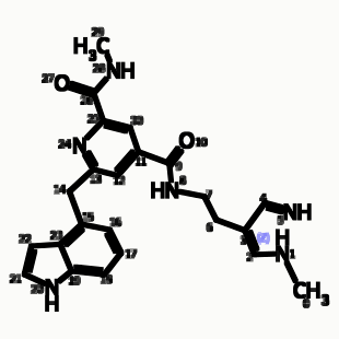 CN/C=C(\C=N)CCNC(=O)c1cc(Cc2cccc3[nH]ccc23)nc(C(=O)NC)c1